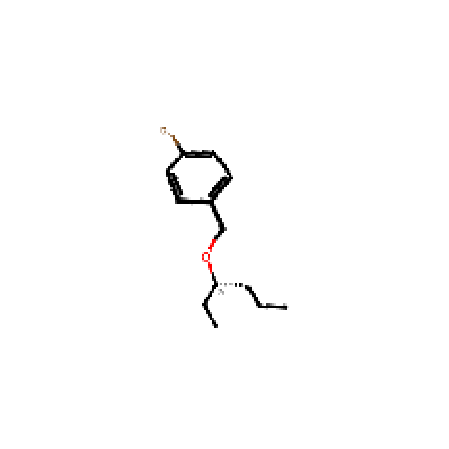 CCC[C@H](CC)OCc1ccc(Br)cc1